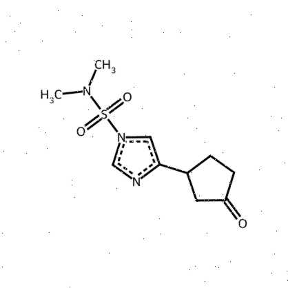 CN(C)S(=O)(=O)n1cnc(C2CCC(=O)C2)c1